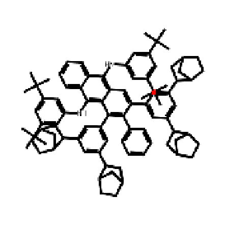 CC(C)(C)c1cc(Nc2c3ccccc3c(Nc3cc(C(C)(C)C)cc(C(C)(C)C)c3)c3c(-c4cc(C5CC6CCC5C6)cc(C5CC6CCC5C6)c4)c(-c4ccccc4)c(-c4cc(C5CC6CCC5C6)cc(C5CC6CCC5C6)c4)cc23)cc(C(C)(C)C)c1